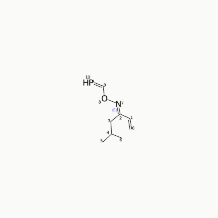 C=C/C(CC(C)C)=N/OC=P